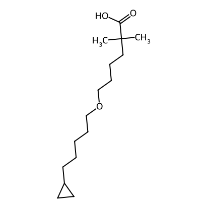 CC(C)(CCCCOCCCCCC1CC1)C(=O)O